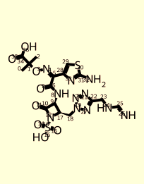 CC(C)(O/N=C(\C(=O)N[C@@H]1C(=O)N(S(=O)(=O)O)[C@@H]1Cn1nnc(CNC=N)n1)c1csc(N)n1)C(=O)O